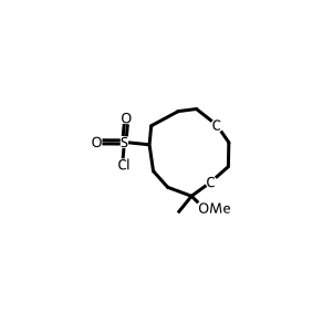 COC1(C)CCCCCCCC(S(=O)(=O)Cl)CC1